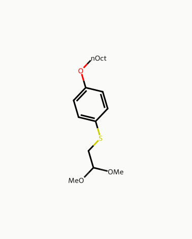 CCCCCCCCOc1ccc(SCC(OC)OC)cc1